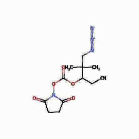 CC(C)(CN=[N+]=[N-])C(CC#N)OC(=O)ON1C(=O)CCC1=O